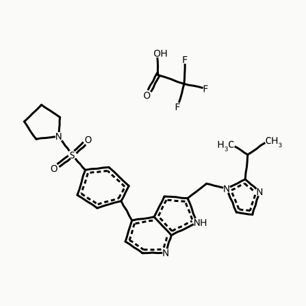 CC(C)c1nccn1Cc1cc2c(-c3ccc(S(=O)(=O)N4CCCC4)cc3)ccnc2[nH]1.O=C(O)C(F)(F)F